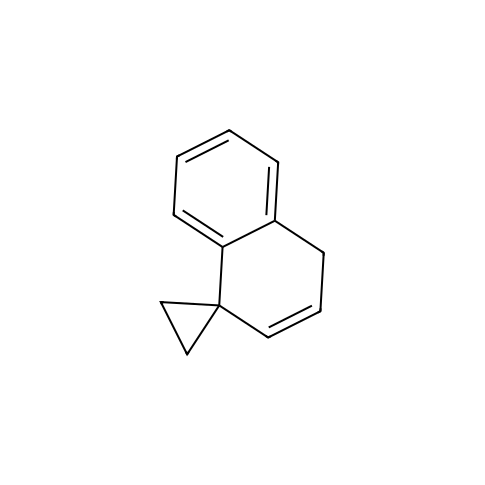 C1=CC2(CC2)c2ccccc2C1